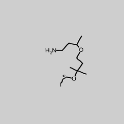 CC(CCN)OCCC(C)(C)OSI